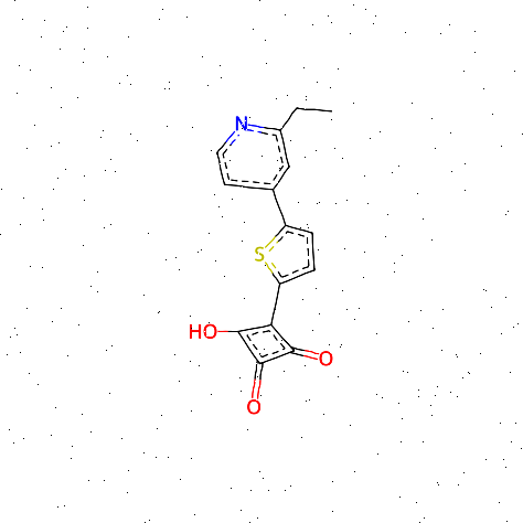 CCc1cc(-c2ccc(-c3c(O)c(=O)c3=O)s2)ccn1